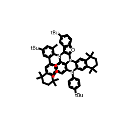 Cc1cc2c3c(c1)N(c1c(C)cc(C(C)(C)C)cc1-c1ccc4c(c1)C(C)(C)CCC4(C)C)c1c(oc4ccc(C(C)(C)C)cc14)B3c1cc3c(cc1N2c1ccc(C(C)(C)C)cc1)C(C)(C)CCC3(C)C